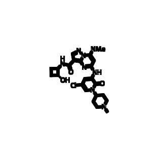 CNc1cc(Nc2cc(Cl)cn(C3CCN(C)CC3)c2=O)nc2c(C(=O)NC3CC[C@H]3O)cnn12